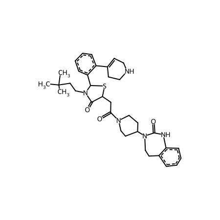 CC(C)(C)CCN1C(=O)C(CC(=O)N2CCC(N3CCc4ccccc4NC3=O)CC2)SC1c1ccccc1C1=CCNCC1